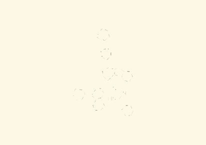 c1ccc(C2=NC(c3cccc4oc5c(-c6ccc(-c7ccccc7)cc6)cccc5c34)NC(c3ccc(-c4ccccc4)c4ccccc34)N2)cc1